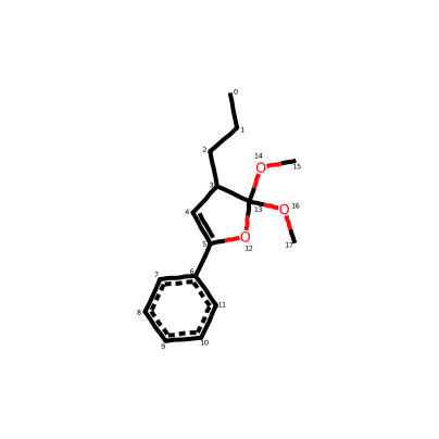 CCCC1C=C(c2ccccc2)OC1(OC)OC